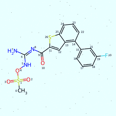 CS(=O)(=O)ONC(N)=NC(=O)c1cc2c(-c3cccc(F)c3)cccc2s1